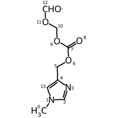 Cn1cnc(COC(=O)OCO[C]=O)c1